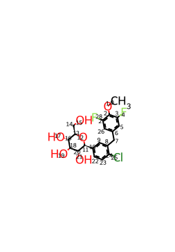 COc1c(F)cc(Cc2cc([C@@H]3O[C@H](CO)[C@@H](O)[C@H](O)[C@H]3O)ccc2Cl)cc1F